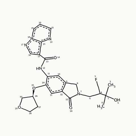 CC(C)(O)C(F)CN1Cc2cc(NC(=O)c3cnn4cccnc34)c(O[C@H]3CCOC3)cc2C1=O